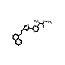 NN/C(F)=C(\N)c1ccnc(-c2cn(CCc3cccc4ccccc34)cn2)c1